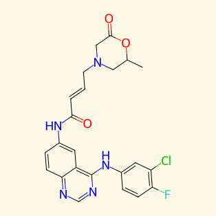 CC1CN(CC=CC(=O)Nc2ccc3ncnc(Nc4ccc(F)c(Cl)c4)c3c2)CC(=O)O1